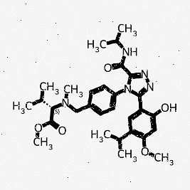 COC(=O)[C@H](C(C)C)N(C)Cc1ccc(-n2c(C(=O)NC(C)C)nnc2-c2cc(C(C)C)c(OC)cc2O)cc1